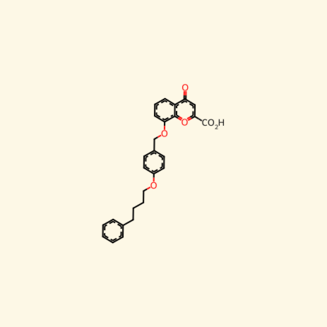 O=C(O)c1cc(=O)c2cccc(OCc3ccc(OCCCCc4ccccc4)cc3)c2o1